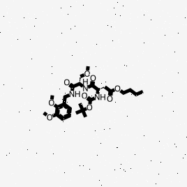 CCCCOC(=O)C[C@H](NC(=O)OC(C)(C)C)C(=O)N[C@@H](COC)C(=O)NCc1cccc(OC)c1OC